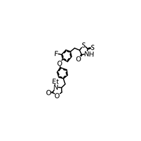 CCN1C(=O)OCC1Cc1ccc(Oc2ccc(CC3SC(=S)NC3=O)cc2F)cc1